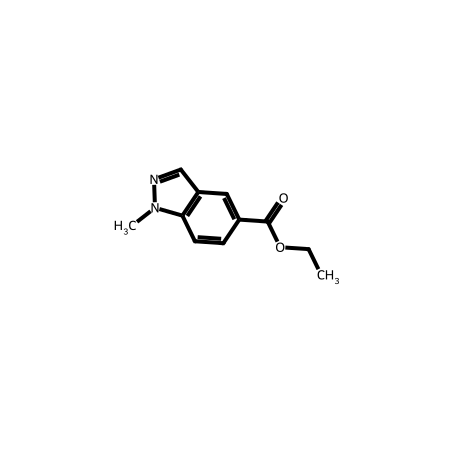 CCOC(=O)c1ccc2c(cnn2C)c1